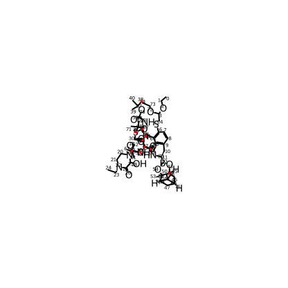 CCOC(CSc1ccc(C[C@H](NC(=O)C(NC(=O)N2CCN(CC)C(=O)C2O)c2csc(NC(=O)OC(C)(C)C)n2)B2O[C@@H]3C[C@@H]4C[C@@H](C4(C)C)[C@]3(C)O2)c(OC(=O)OC(C)(C)C)c1C(=O)OC(C)(C)C)OCC